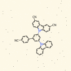 N#Cc1ccc(-c2cc(-n3c4ccccc4c4ccccc43)cc(-n3c4ccc(C#N)cc4c4cc(C#N)ccc43)c2)cc1